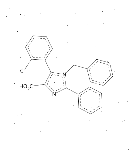 O=C(O)c1nc(-c2ccccc2)n(Cc2ccccc2)c1-c1ccccc1Cl